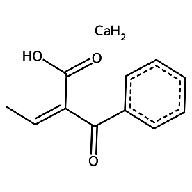 CC=C(C(=O)O)C(=O)c1ccccc1.[CaH2]